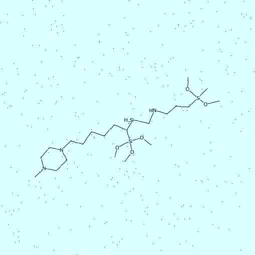 CO[Si](C)(CCCNC[SiH2]C(CCCCCN1CCN(C)CC1)[Si](OC)(OC)OC)OC